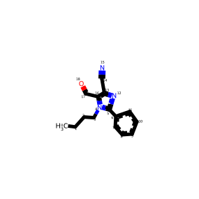 CCCCn1c(-c2ccccc2)nc(C#N)c1C=O